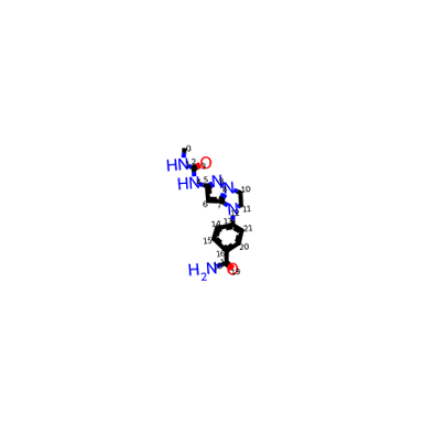 CNC(=O)Nc1cc2n(n1)CCN2c1ccc(C(N)=O)cc1